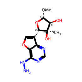 CO[C@H]1O[C@@H](c2coc3c(NN)ncnc23)[C@](C)(O)[C@@H]1O